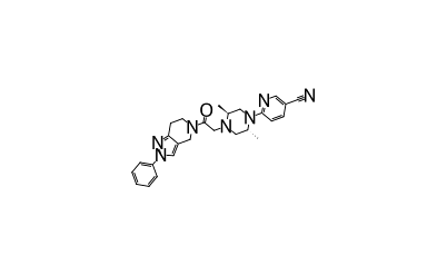 C[C@@H]1CN(CC(=O)N2CCc3nn(-c4ccccc4)cc3C2)[C@@H](C)CN1c1ccc(C#N)cn1